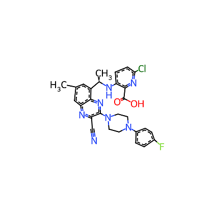 Cc1cc([C@@H](C)Nc2ccc(Cl)nc2C(=O)O)c2nc(N3CCN(c4ccc(F)cc4)CC3)c(C#N)nc2c1